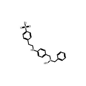 CCCN(Cc1ccccc1)Cc1ccc(NCCc2ccc(S(=O)(=O)CC)cc2)cc1